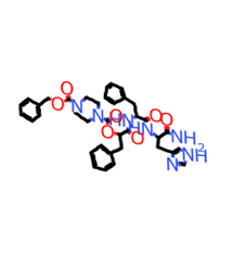 NC(=O)C(Cc1c[nH]cn1)NC(=O)C(Cc1ccccc1)NC(=O)C(Cc1ccccc1)OC(=O)N1CCN(C(=O)OCc2ccccc2)CC1